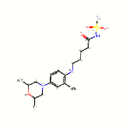 Cc1cc(N2CC(C)OC(C)C2)ccc1NCCCCC(=O)NS(=O)(=O)C(C)C